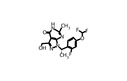 Cc1nc2c(c(CO)nn2[C@@H](C)c2ccc(OC(F)F)cc2F)c(=O)[nH]1